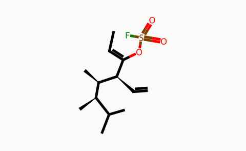 C=C[C@H](C(=CC)OS(=O)(=O)F)[C@H](C)[C@H](C)C(C)C